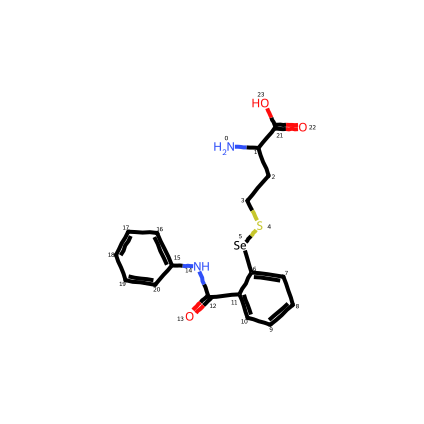 NC(CCS[Se]c1ccccc1C(=O)Nc1ccccc1)C(=O)O